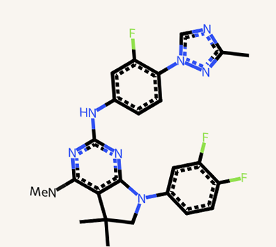 CNc1nc(Nc2ccc(-n3cnc(C)n3)c(F)c2)nc2c1C(C)(C)CN2c1ccc(F)c(F)c1